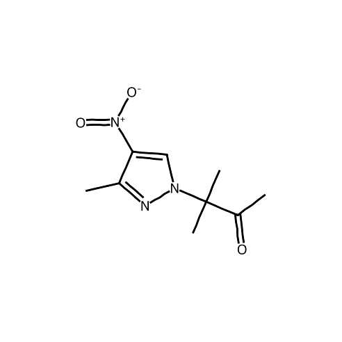 CC(=O)C(C)(C)n1cc([N+](=O)[O-])c(C)n1